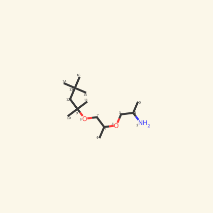 CC(N)COC(C)COC(C)(C)CC(C)(C)C